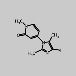 Cc1nc(I)c(C)n1-c1ccn(C)c(=O)c1